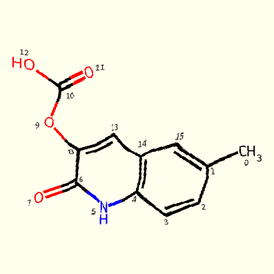 Cc1ccc2[nH]c(=O)c(OC(=O)O)cc2c1